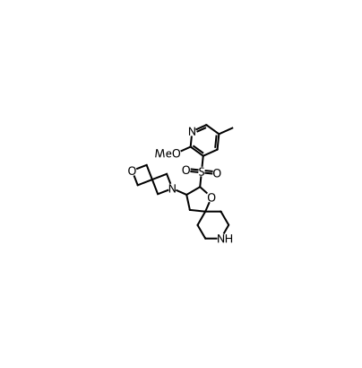 COc1ncc(C)cc1S(=O)(=O)C1OC2(CCNCC2)CC1N1CC2(COC2)C1